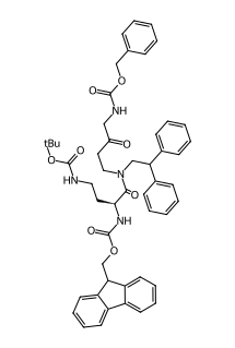 CC(C)(C)OC(=O)NCC[C@H](NC(=O)OCC1c2ccccc2-c2ccccc21)C(=O)N(CCC(=O)CNC(=O)OCc1ccccc1)CC(c1ccccc1)c1ccccc1